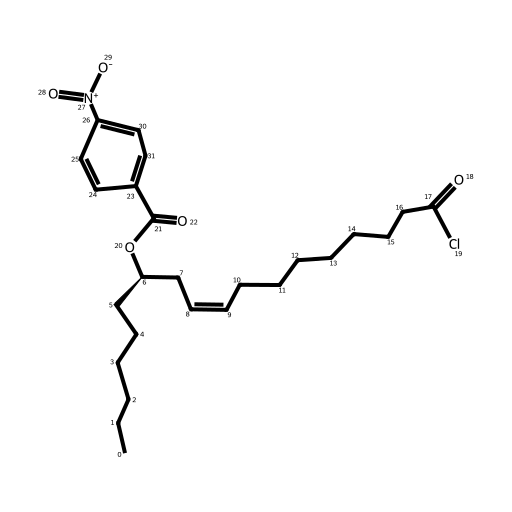 CCCCCC[C@H](C/C=C\CCCCCCCC(=O)Cl)OC(=O)c1ccc([N+](=O)[O-])cc1